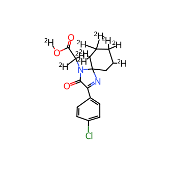 [2H]OC(=O)C([2H])([2H])N1C(=O)C(c2ccc(Cl)cc2)=NC12CC([2H])C([2H])([2H])C([2H])([2H])C2([2H])[2H]